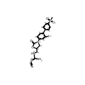 CS(=O)(=O)c1ccc(-c2ccc(N3CC(CN/C(N)=N/C#N)OC3=O)cc2F)cc1